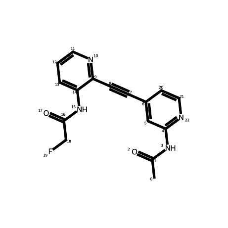 CC(=O)Nc1cc(C#Cc2ncccc2NC(=O)CF)ccn1